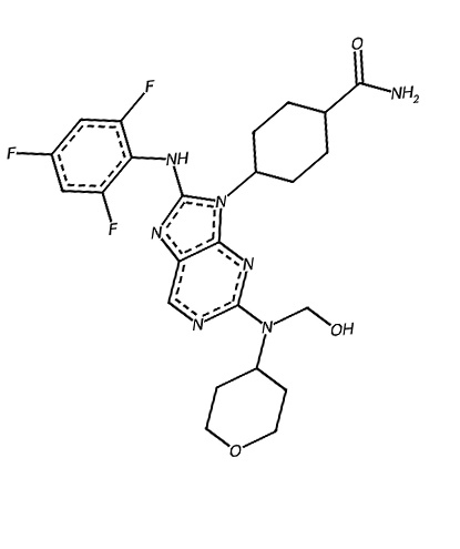 NC(=O)C1CCC(n2c(Nc3c(F)cc(F)cc3F)nc3cnc(N(CO)C4CCOCC4)nc32)CC1